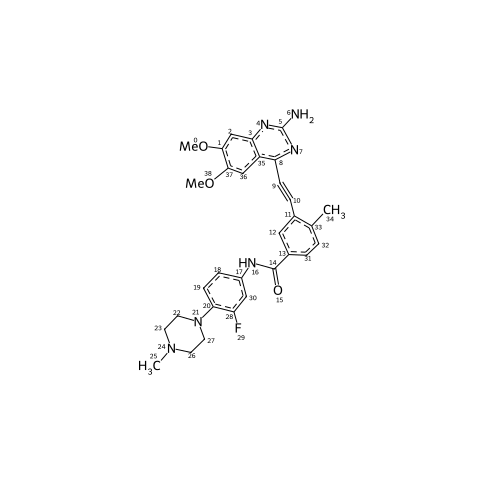 COc1cc2nc(N)nc(C#Cc3cc(C(=O)Nc4ccc(N5CCN(C)CC5)c(F)c4)ccc3C)c2cc1OC